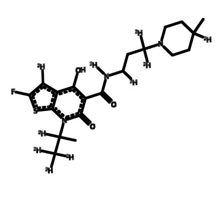 [2H]c1c(F)sc2c1c(O)c(C(=O)N([2H])C([2H])CC([2H])([2H])N1CCC([2H])(C)CC1)c(=O)n2C([2H])(C)C([2H])([2H])[2H]